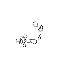 Cc1oc(-c2ccccc2)nc1CCOc1ccc(CC(C(=O)O)N2CCCC2=O)cc1